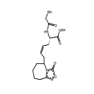 COC(=O)[C@H](C/C=C\CC1CCCCc2noc(=O)n21)NC(=O)OC(C)(C)C